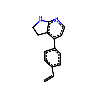 C=Cc1ccc(-c2ccnc3c2CCN3)cc1